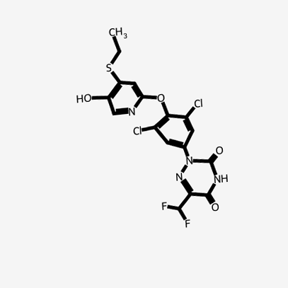 CCSc1cc(Oc2c(Cl)cc(-n3nc(C(F)F)c(=O)[nH]c3=O)cc2Cl)ncc1O